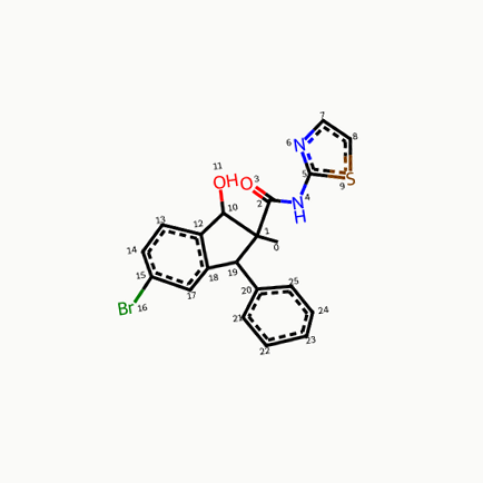 CC1(C(=O)Nc2nccs2)C(O)c2ccc(Br)cc2C1c1ccccc1